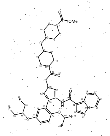 COC(=O)N1CCN(CC2CCN(C(=O)Cn3cc(NC(=O)c4cnn5cccnc45)c(-c4cc(SC(CF)CF)ccc4OC(F)F)n3)CC2)CC1